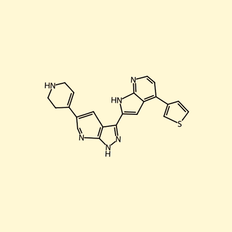 C1=C(c2cnc3[nH]nc(-c4cc5c(-c6ccsc6)ccnc5[nH]4)c3c2)CCNC1